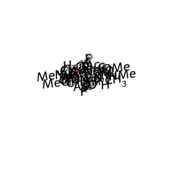 CN[C@@H](C)C(=O)N[C@H](C(=O)N1CC[C@H](OC(C)=O)[C@H]1Cc1c(-c2[nH]c3cc(F)ccc3c2C[C@@H]2[C@@H](OC(C)=O)CCN2C(=O)[C@@H](NC(=O)[C@H](C)NC)[C@@H](C)OC)[nH]c2cc(F)ccc12)C(C)OC